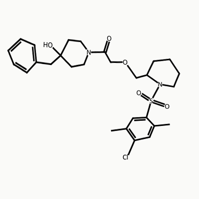 Cc1cc(S(=O)(=O)N2CCCCC2COCC(=O)N2CCC(O)(Cc3ccccc3)CC2)c(C)cc1Cl